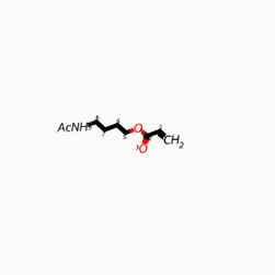 C=CC(=O)OCCCCNC(C)=O